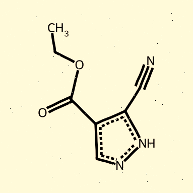 CCOC(=O)c1cn[nH]c1C#N